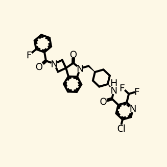 O=C(N[C@H]1CC[C@H](CN2C(=O)C3(CN(C(=O)c4ccccc4F)C3)c3ccccc32)CC1)c1cc(Cl)cnc1C(F)F